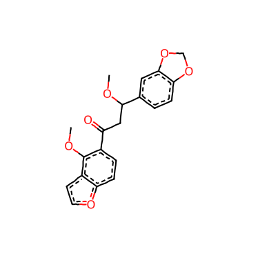 COc1c(C(=O)CC(OC)c2ccc3c(c2)OCO3)ccc2occc12